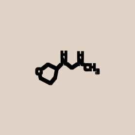 CNCNC1CCCOC1